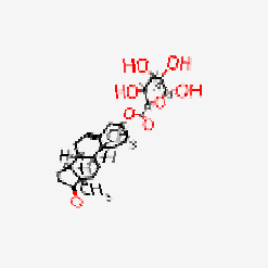 C[C@]12CC[C@@H](OC(=O)[C@H]3O[C@@H](O)[C@H](O)[C@@H](O)[C@@H]3O)CC1=CC[C@@H]1[C@@H]2CC[C@]2(C)C(=O)CC[C@@H]12